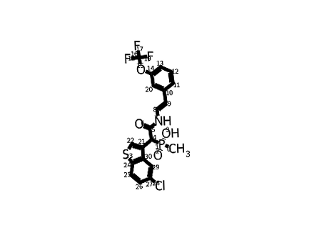 CP(=O)(O)C(C(=O)NC=Cc1cccc(OC(F)(F)F)c1)c1csc2ccc(Cl)cc12